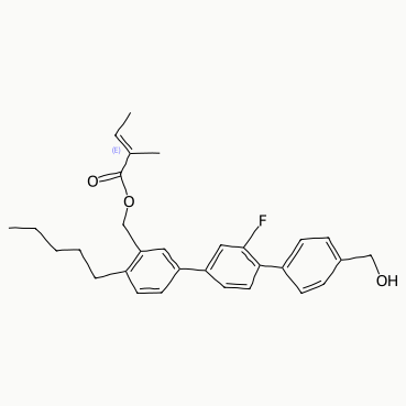 C/C=C(\C)C(=O)OCc1cc(-c2ccc(-c3ccc(CO)cc3)c(F)c2)ccc1CCCCC